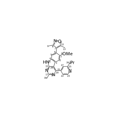 COc1cc2c(cc1-c1c(C)noc1C)[nH]c1nc(C)nc(-c3ccnc(C(C)C)c3)c12